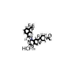 CC(=O)N1CCC(F)(c2cc3/c(=N/[C@H](C)c4cccc(C(F)(F)F)c4C)ncn(C)c3cn2)CC1.Cl